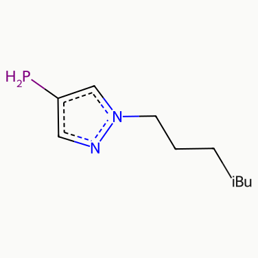 CCC(C)CCCn1cc(P)cn1